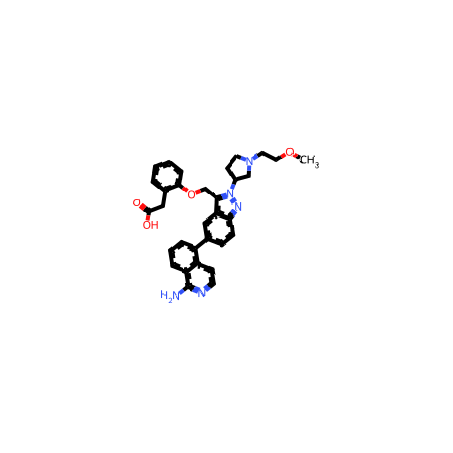 COCCN1CCC(n2nc3ccc(-c4cccc5c(N)nccc45)cc3c2COc2ccccc2CC(=O)O)C1